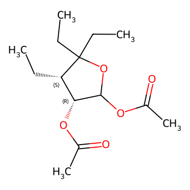 CC[C@H]1[C@@H](OC(C)=O)C(OC(C)=O)OC1(CC)CC